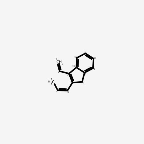 C=CC1=C(/C=C\C)Cc2ccccc21